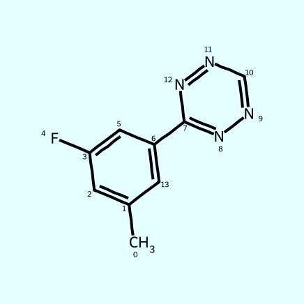 Cc1cc(F)cc(-c2nncnn2)c1